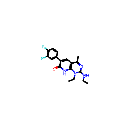 CCNC1N=C(C)c2cc(-c3ccc(F)c(F)c3)c(=O)[nH]c2N1CC